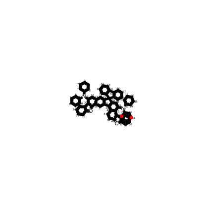 c1ccc(N(c2ccccc2)c2cc3cc4c(cc3c3oc5ccccc5c23)-c2c(cc(N(c3ccccc3)c3ccccc3)c3c2ccc2oc5ccccc5c23)C42c3ccccc3-c3ccccc32)cc1